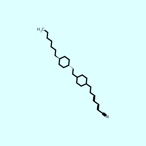 CCCCCCC[C@H]1CC[C@H](CCC2CCC(CCC=CC=CC#N)CC2)CC1